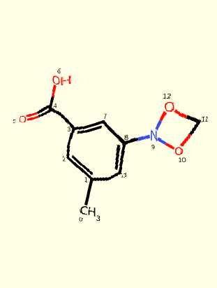 Cc1cc(C(=O)O)cc(N2OCO2)c1